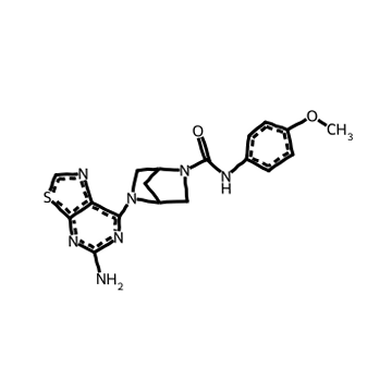 COc1ccc(NC(=O)N2CC3CC2CN3c2nc(N)nc3scnc23)cc1